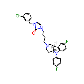 O=c1n(CCCCN2CC[C@@H]3[C@@H](C2)c2cc(F)ccc2N3c2ccc(F)cc2)ccn1Cc1cccc(Cl)c1